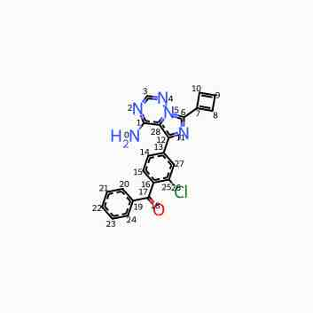 Nc1ncnn2c(C3=CC=C3)nc(-c3ccc(C(=O)c4ccccc4)c(Cl)c3)c12